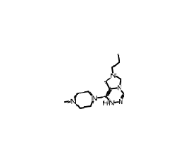 CCCN1CC2=C(N3CCN(C)CC3)NN=CN2C1